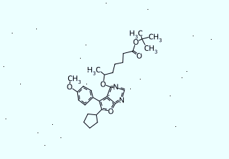 COc1ccc(-c2c(C3CCCC3)oc3ncnc(OC(C)CCCCC(=O)OC(C)(C)C)c23)cc1